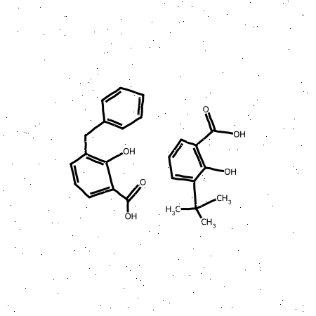 CC(C)(C)c1cccc(C(=O)O)c1O.O=C(O)c1cccc(Cc2ccccc2)c1O